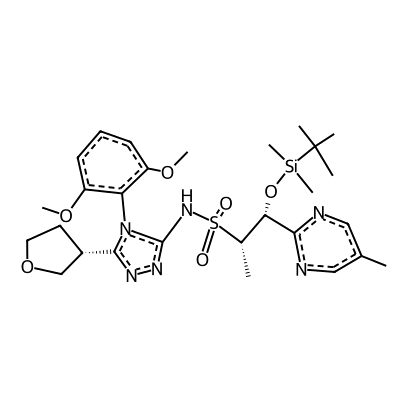 COc1cccc(OC)c1-n1c(NS(=O)(=O)[C@@H](C)[C@H](O[Si](C)(C)C(C)(C)C)c2ncc(C)cn2)nnc1[C@H]1CCOC1